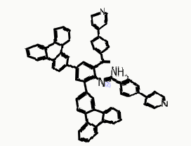 CC(c1ccc(-c2ccncc2)cc1)c1cc(-c2ccc3c(c2)C2CC=CC=C2c2ccccc2-3)cc(-c2ccc3c4ccccc4c4ccccc4c3c2)c1/N=C(\N)c1ccc(-c2ccncc2)cc1